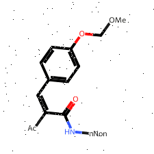 CCCCCCCCCNC(=O)/C(=C\c1ccc(OCOC)cc1)C(C)=O